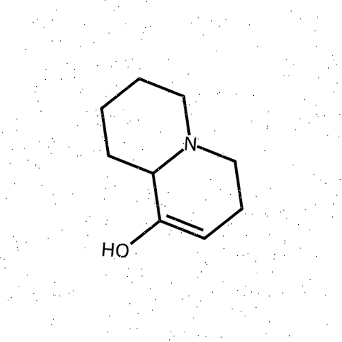 OC1=CCCN2CCCCC12